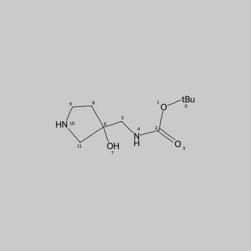 CC(C)(C)OC(=O)NCC1(O)CCNC1